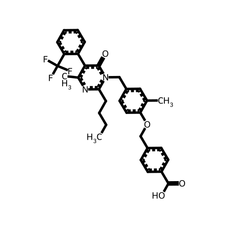 CCCCc1nc(C)c(-c2ccccc2C(F)(F)F)c(=O)n1Cc1ccc(OCc2ccc(C(=O)O)cc2)c(C)c1